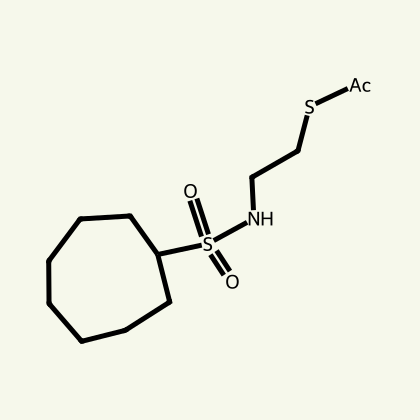 CC(=O)SCCNS(=O)(=O)C1CCCCCCC1